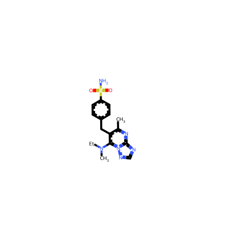 CCN(C)c1c(Cc2ccc(S(N)(=O)=O)cc2)c(C)nc2ncnn12